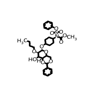 CCCCO[C@@H]1C(O)[C@@H]2OC(c3ccccc3)OCC2O[C@H]1OC1CCC(N(C(=O)OC)S(=O)(=O)Oc2ccccc2)CC1